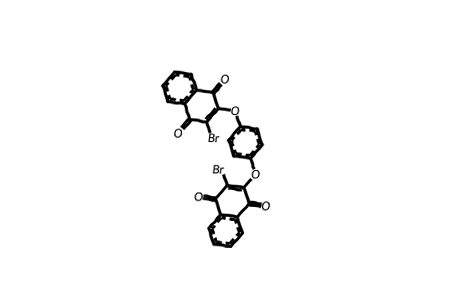 O=C1C(Br)=C(Oc2ccc(OC3=C(Br)C(=O)c4ccccc4C3=O)cc2)C(=O)c2ccccc21